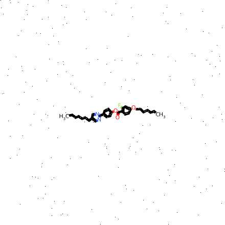 CCCCCCCOc1ccc(C(=O)Oc2ccc(-c3ncc(CCCCCCC)cn3)cc2)c(F)c1